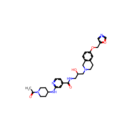 CC(=O)N1CCC(Nc2cc(C(=O)NCC(O)CN3CCc4cc(OCc5cnco5)ccc4C3)ccn2)CC1